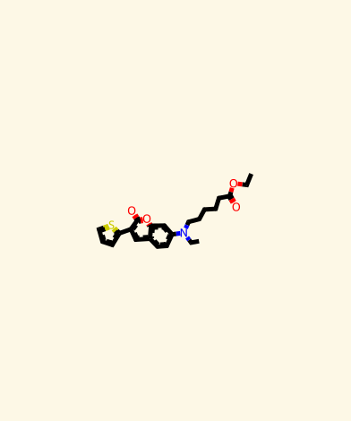 CCOC(=O)CCCCCN(CC)c1ccc2cc(-c3cccs3)c(=O)oc2c1